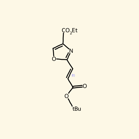 CCOC(=O)c1coc(/C=C/C(=O)OC(C)(C)C)n1